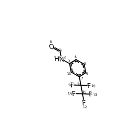 O=[C]Nc1cccc(C(F)(F)C(F)(F)F)c1